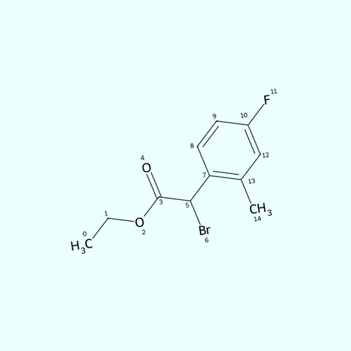 CCOC(=O)C(Br)c1ccc(F)cc1C